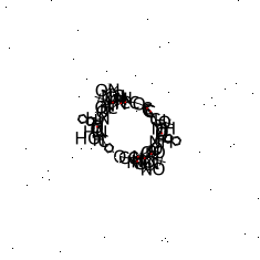 C[C@@H](C(=O)N[C@H](C(=O)N1C[C@@H]2C[C@H]1C(=O)N[C@@H](Cc1ccc3ccccc3c1)C(=O)N[C@H](C(=O)O)Cc1ccc(cc1)OCc1cn(nn1)[C@H]1C[C@@H](C(=O)N[C@@H](Cc3ccc4ccccc4c3)C(=O)N[C@H](C(=O)OC(C)(C)C)Cc3ccc(cc3)OCc3cn2nn3)N(C(=O)[C@@H](NC(=O)[C@H](C)N(C)C(=O)OC(C)(C)C)C(C)(C)C)C1)C(C)(C)C)N(C)C(=O)OC(C)(C)C